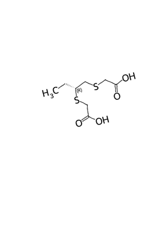 CC[C@H](CSCC(=O)O)SCC(=O)O